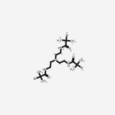 CC(C)(Br)C(=O)NCCN(CCNC(=O)C(C)(C)Br)CCNC(=O)C(C)(C)Br